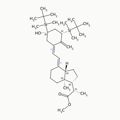 C=C1/C(=C\C=C2/CCC[C@]3(C)[C@@H]([C@H](C)C(=O)OC)CC[C@@H]23)C[C@@](O)([Si](C)(C)C(C)(C)C)C[C@@H]1[Si](C)(C)C(C)(C)C